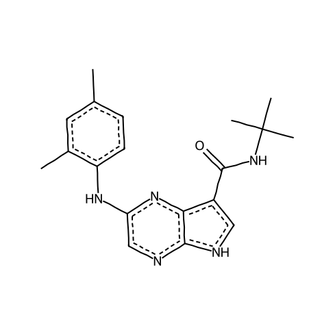 Cc1ccc(Nc2cnc3[nH]cc(C(=O)NC(C)(C)C)c3n2)c(C)c1